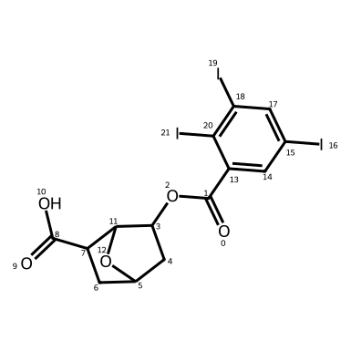 O=C(OC1CC2CC(C(=O)O)C1O2)c1cc(I)cc(I)c1I